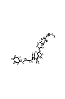 Nc1nc2ccc(-c3csc(C(=O)NCCCc4ccccc4)c3)cn2n1